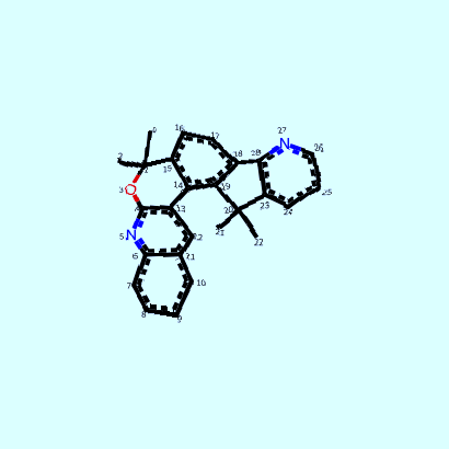 CC1(C)Oc2nc3ccccc3cc2-c2c1ccc1c2C(C)(C)c2cccnc2-1